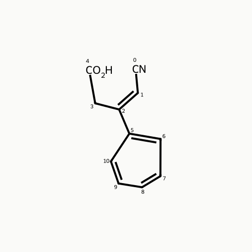 N#CC=C(CC(=O)O)c1ccccc1